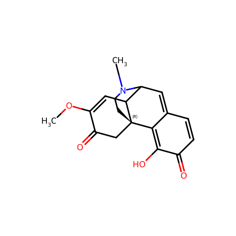 COC1=CC2C3C=C4C=CC(=O)C(O)=C4[C@]2(CCN3C)CC1=O